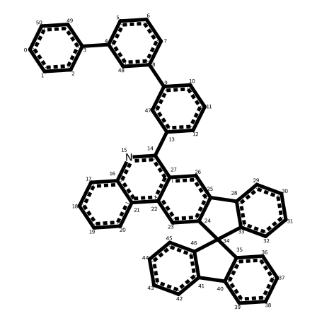 c1ccc(-c2cccc(-c3cccc(-c4nc5ccccc5c5cc6c(cc45)-c4ccccc4C64c5ccccc5-c5ccccc54)c3)c2)cc1